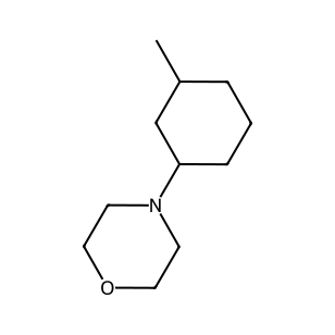 CC1CCCC(N2CCOCC2)C1